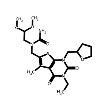 CCn1c(=O)c2c(C)c(CN(CC(OC)OC)C(N)=O)sc2n(CC2CCCO2)c1=O